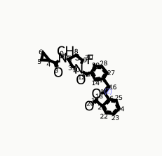 CN(C(=O)C1CC1)[C@H]1CCN(C(=O)c2cc(/C=C3\OC(=O)c4ccccc43)ccc2F)C1